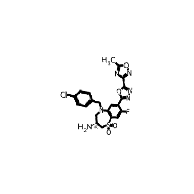 Cc1nc(-c2nnc(-c3cc4c(cc3F)S(=O)(=O)C[C@H](N)CN4Cc3ccc(Cl)cc3)o2)no1